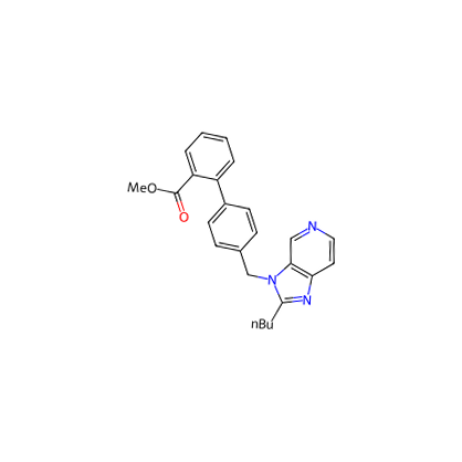 CCCCc1nc2ccncc2n1Cc1ccc(-c2ccccc2C(=O)OC)cc1